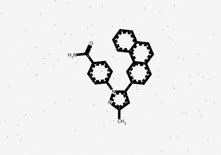 Cc1cc(-c2ccc3ccc4ccccc4c3c2)n(-c2ccc(C(N)=O)cc2)n1